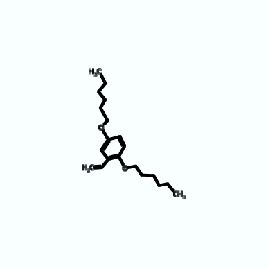 C=Cc1cc(OCCCCCC)ccc1OCCCCCC